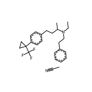 CC#N.CCN(CCc1ccccc1)C(C)CCc1ccc(C2(C(F)(F)F)CC2)cc1